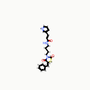 O=C(C=Cc1cccnc1)NCCCCN1C(=O)SC(=Cc2ccccc2)C1=O